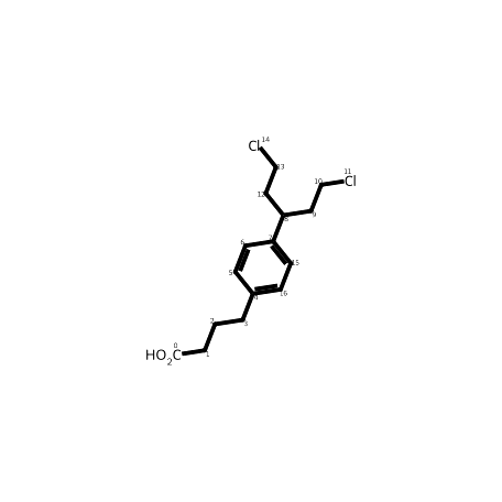 O=C(O)CCCc1ccc(C(CCCl)CCCl)cc1